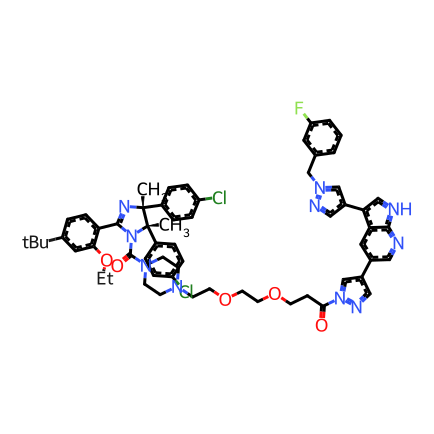 CCOc1cc(C(C)(C)C)ccc1C1=N[C@](C)(c2ccc(Cl)cc2)[C@](C)(c2ccc(Cl)cc2)N1C(=O)N1CCN(CCOCCOCCC(=O)n2cc(-c3cnc4[nH]cc(-c5cnn(Cc6cccc(F)c6)c5)c4c3)cn2)CC1